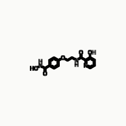 O=C(NO)c1ccc(OCCNC(=O)c2ncccc2O)cc1